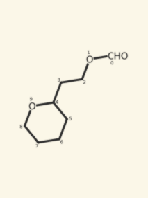 O=COCCC1CCCCO1